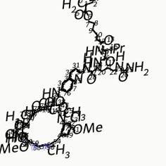 C=C(CBr)C(=O)OCCCCCC(=O)N[C@H](C(=O)N[C@@H](CCCNC(N)=O)C(=O)Nc1ccc2cc(NC(=O)O[C@H]3CC(=O)N(C)c4cc(cc(OC)c4Cl)C/C(C)=C/C=C/[C@@H](OC)[C@@]4(O)C[C@H](OC(=O)N4)[C@@H](C)[C@@H]4O[C@@]34C)ccc2n1)C(C)C